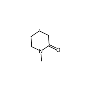 CN1CC[CH]CC1=O